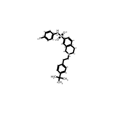 CC(C)(C)c1ccc(CCN2CCc3ccc(S(=O)(=O)Nc4ccc(F)cc4)cc3C2)cc1